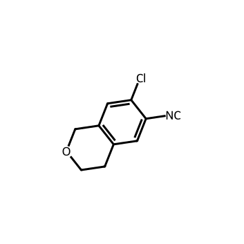 [C-]#[N+]c1cc2c(cc1Cl)COCC2